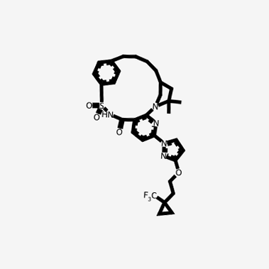 CC1(C)CC2CCCCc3ccc(cc3)S(=O)(=O)NC(=O)c3ccc(-n4ccc(OCCC5(C(F)(F)F)CC5)n4)nc3N1C2